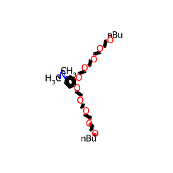 CCCCOCCOCCOCCOCCOc1ccc(N(C)C)cc1OCCOCCOCCOCCOCCCC